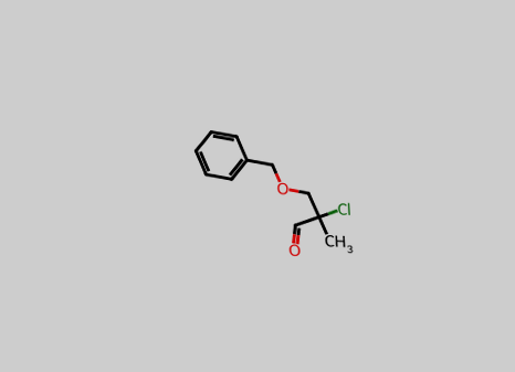 CC(Cl)(C=O)COCc1ccccc1